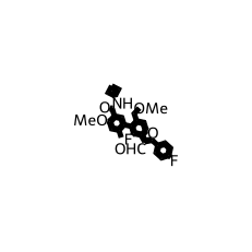 COCc1cc2oc(-c3ccc(F)cc3)c(C=O)c2c(F)c1-c1cc(C(=O)NC23CC(C2)C3)c(OC)cc1C